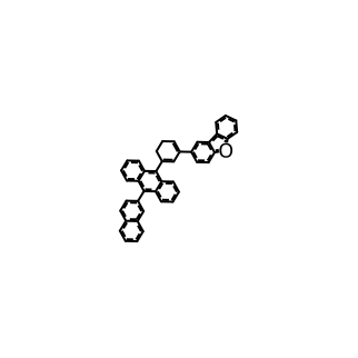 C1=C(c2ccc3oc4ccccc4c3c2)C=C(c2c3ccccc3c(-c3ccc4ccccc4c3)c3ccccc23)CC1